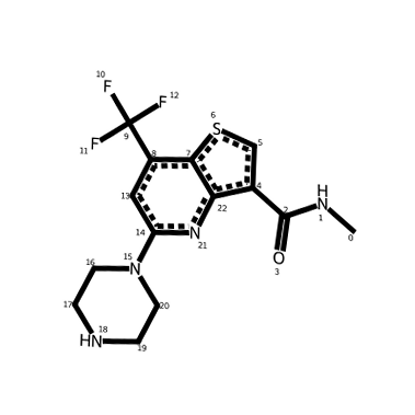 CNC(=O)c1csc2c(C(F)(F)F)cc(N3CCNCC3)nc12